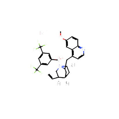 C=C[C@H]1C[N@@+]2(Cc3cc(C(F)(F)F)cc(C(F)(F)F)c3)CC[C@@H]1C[C@@H]2[C@H](O)c1ccnc2ccc(OC)cc12.[Br-]